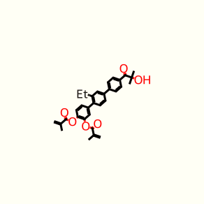 C=C(C)C(=O)Oc1ccc(-c2ccc(-c3ccc(C(=O)C(C)(C)O)cc3)cc2CC)cc1OC(=O)C(=C)C